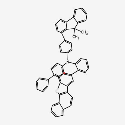 CC1(C)c2ccccc2-c2cccc(-c3ccc(N(c4ccc(-c5ccccc5)cc4)c4ccccc4-c4ccc5oc6c7ccccc7ccc6c5c4)cc3)c21